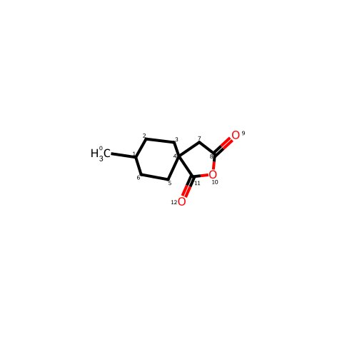 CC1CCC2(CC1)CC(=O)OC2=O